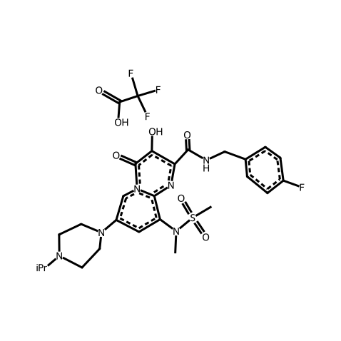 CC(C)N1CCN(c2cc(N(C)S(C)(=O)=O)c3nc(C(=O)NCc4ccc(F)cc4)c(O)c(=O)n3c2)CC1.O=C(O)C(F)(F)F